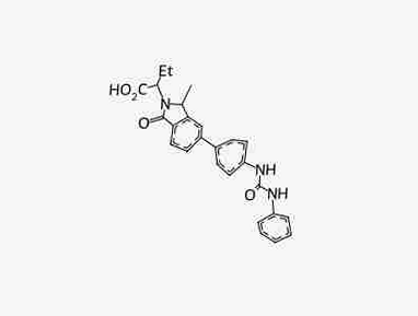 CCC(C(=O)O)N1C(=O)c2ccc(-c3ccc(NC(=O)Nc4ccccc4)cc3)cc2C1C